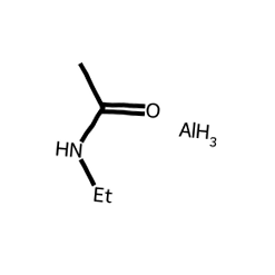 CCNC(C)=O.[AlH3]